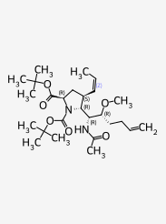 C=CCC[C@@H](OC)[C@H](NC(C)=O)[C@H]1[C@H](/C=C\C)C[C@H](C(=O)OC(C)(C)C)N1C(=O)OC(C)(C)C